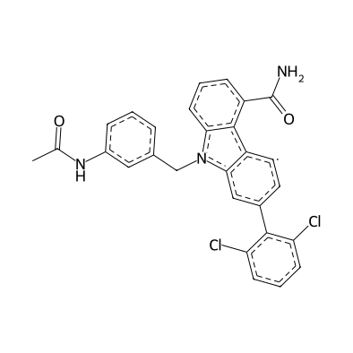 CC(=O)Nc1cccc(Cn2c3cc(-c4c(Cl)cccc4Cl)c[c]c3c3c(C(N)=O)cccc32)c1